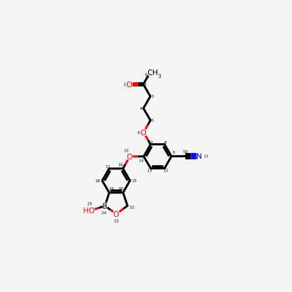 CC(=O)CCCOc1cc(C#N)ccc1Oc1ccc2c(c1)COB2O